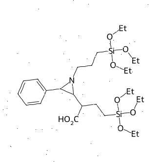 CCO[Si](CCCN1C(c2ccccc2)C1C(CC[Si](OCC)(OCC)OCC)C(=O)O)(OCC)OCC